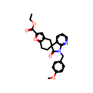 CCOC(=O)c1cc2c(o1)CCC1(C2)C(=O)N(Cc2ccc(OC)cc2)c2ncccc21